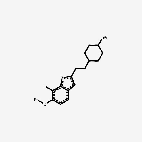 CCCC1CCC(CCc2cc3ccc(OCC)c(F)c3s2)CC1